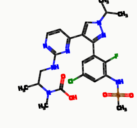 CC(CNc1nccc(-c2cn(C(C)C)nc2-c2cc(Cl)cc(NS(C)(=O)=O)c2F)n1)N(C)C(=O)O